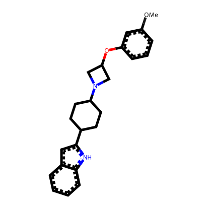 COc1cccc(OC2CN(C3CCC(c4cc5ccccc5[nH]4)CC3)C2)c1